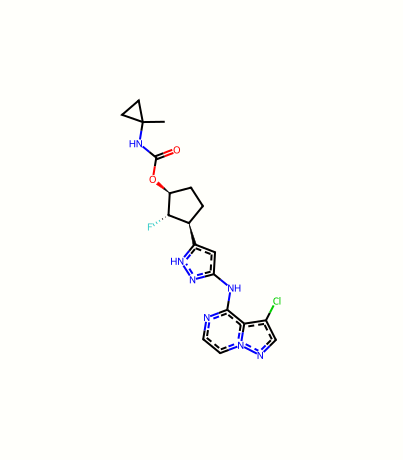 CC1(NC(=O)O[C@H]2CC[C@@H](c3cc(Nc4nccn5ncc(Cl)c45)n[nH]3)[C@@H]2F)CC1